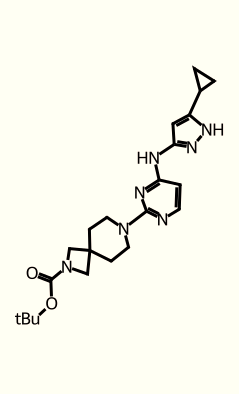 CC(C)(C)OC(=O)N1CC2(CCN(c3nccc(Nc4cc(C5CC5)[nH]n4)n3)CC2)C1